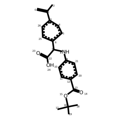 C=C(C)c1ccc(C(Nc2ccc(C(=O)OC(C)(C)C)cc2)C(=O)O)cc1